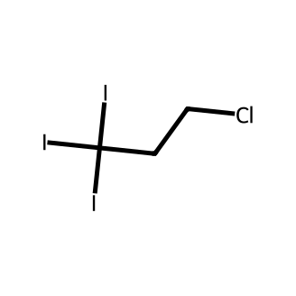 ClCCC(I)(I)I